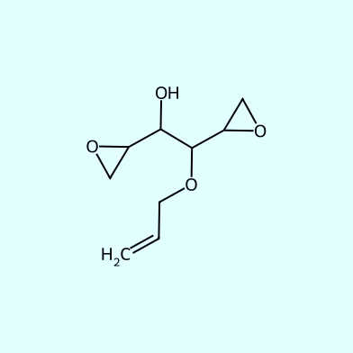 C=CCOC(C1CO1)C(O)C1CO1